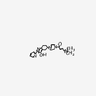 CN(C)C/C=C/C(=O)N1CCN(C2CCc3nn(-c4ccccn4)c(O)c3C2)CC1